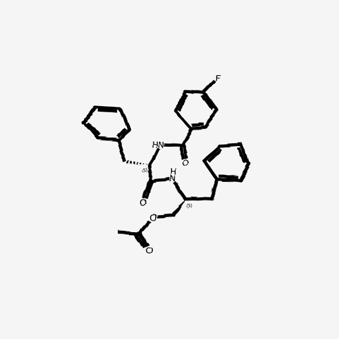 CC(=O)OC[C@H](Cc1ccccc1)NC(=O)[C@H](Cc1ccccc1)NC(=O)c1ccc(F)cc1